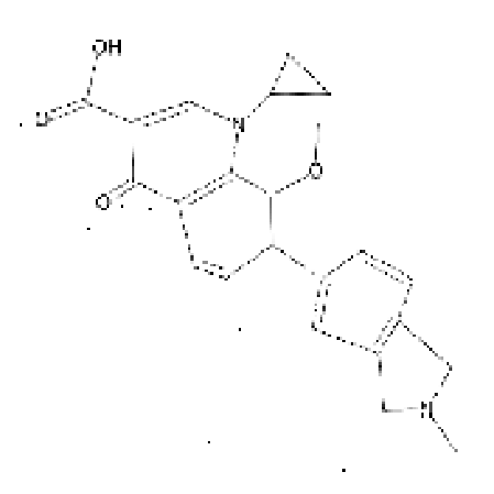 COc1c(-c2ccc3c(c2)CN(C)C3)ccc2c(=O)c(C(=O)O)cn(C3CC3)c12